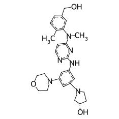 Cc1ccc(CO)cc1N(C)c1ccnc(Nc2cc(N3CCOCC3)cc(N3CC[C@H](O)C3)c2)n1